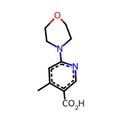 Cc1cc(N2CCOCC2)ncc1C(=O)O